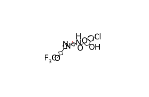 O=C(NC12CC(n3cc(C4CC(OC(F)(F)F)C4)cn3)(C1)C2)[C@@H]1C[C@@H](O)c2cc(Cl)ccc2O1